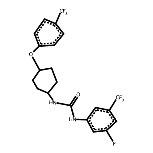 O=C(Nc1cc(F)cc(C(F)(F)F)c1)NC1CCC(Oc2ccc(C(F)(F)F)cc2)CC1